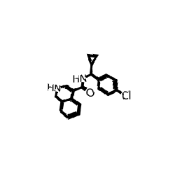 O=C(NC(c1ccc(Cl)cc1)C1CC1)C1=CNCc2ccccc21